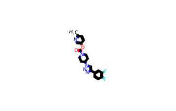 Cc1ccc(OC(=O)N2CCC(n3cc(-c4ccc(F)c(F)c4)nn3)CC2)cn1